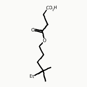 CCC(C)(C)CCCOC(=O)CCC(=O)O